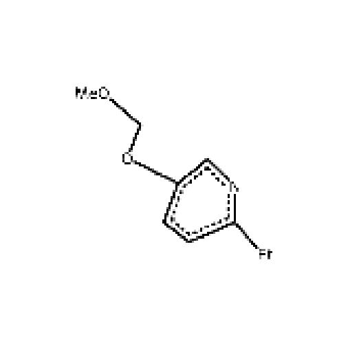 CCc1ccc(OCOC)cn1